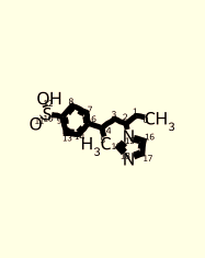 CCC(CC(C)c1ccc(S(=O)O)cc1)n1ccnc1